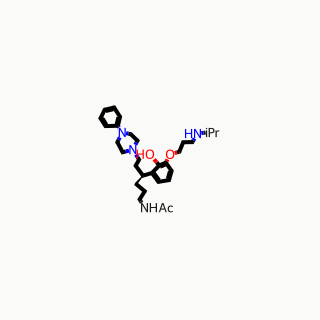 CC(=O)NCCC[C@@H](CCN1CCN(c2ccccc2)CC1)c1cccc(OCCCNC(C)C)c1O